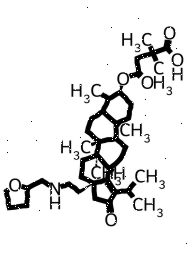 CC(C)C1=C2[C@H]3CCC4[C@@]5(C)CC[C@H](OC(=O)CC(C)(C)C(=O)O)C(C)C5CC[C@@]4(C)[C@]3(C)CC[C@@]2(CCNCC2CCCO2)CC1=O